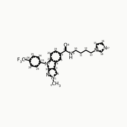 Cn1cc2c3cc(C(=O)NCCCCn4ccnc4)ccc3n(-c3ccc(C(F)(F)F)cc3)c2n1